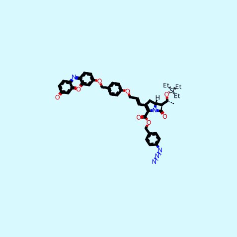 CC[Si](CC)(CC)O[C@H](C)[C@H]1C(=O)N2C(C(=O)OCc3ccc(N=[N+]=[N-])cc3)=C(/C=C/COc3ccc(COc4ccc5nc6ccc(=O)cc-6oc5c4)cc3)C[C@H]12